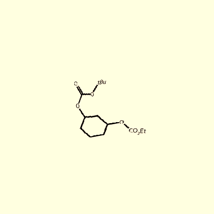 CCOC(=O)OC1CCCC(OC(=O)OC(C)(C)C)C1